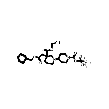 CCOC(=O)C1(CC(=O)OCc2ccccc2)CCCN(C2CCN(C(=O)OC(C)(C)C)CC2)C1